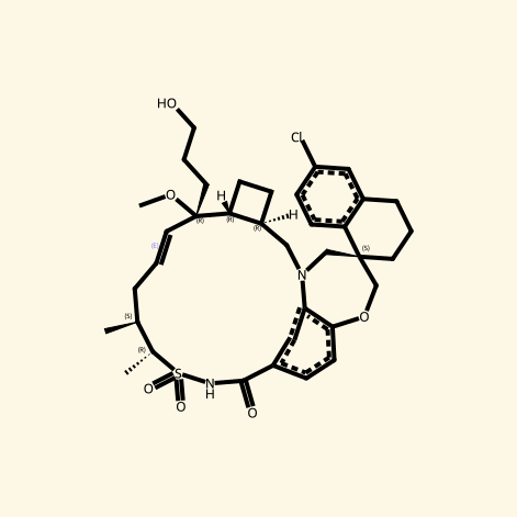 CO[C@@]1(CCCO)/C=C/C[C@H](C)[C@@H](C)S(=O)(=O)NC(=O)c2ccc3c(c2)N(C[C@@H]2CC[C@H]21)C[C@@]1(CCCc2cc(Cl)ccc21)CO3